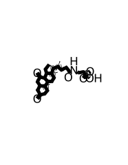 C[C@H](CCC(=O)NCCS(=O)(=O)O)[C@H]1CCC2C3C(=O)CC4CC(=O)CC[C@]4(C)C3CC[C@@]21C